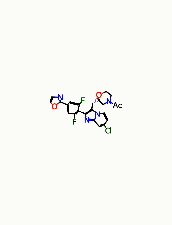 CC(=O)N1CCO[C@@H](Cc2c(-c3c(F)cc(-c4ncco4)cc3F)nc3cc(Cl)ccn23)C1